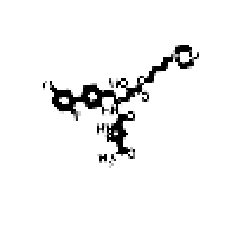 CC(=O)c1cc(C(=O)NN(Cc2ccc(-c3cc(Cl)ccc3F)cc2)C[C@@H](O)C(=O)OCCCCN2CCOCC2)[nH]n1